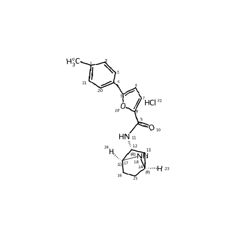 Cc1ccc(-c2ccc(C(=O)N[C@@H]3C[C@H]4CC[C@@H]3N4)o2)cc1.Cl